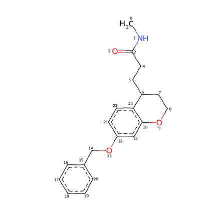 CNC(=O)CCC1CCOc2cc(OCc3ccccc3)ccc21